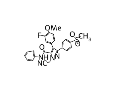 COc1ccc(-c2c(-c3ccc(S(C)(=O)=O)cc3)nn(CC#N)c2C(=O)Nc2ccccc2)cc1F